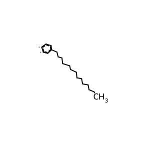 CCCCCCCCCCCCCCc1c[c][c]cc1